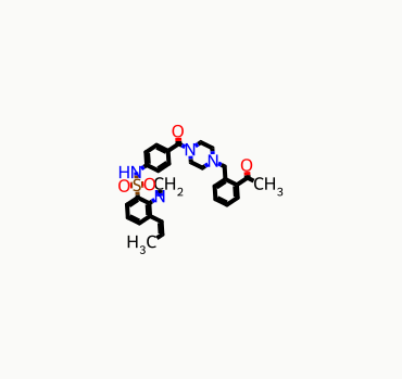 C=Nc1c(/C=C\C)cccc1S(=O)(=O)Nc1ccc(C(=O)N2CCN(Cc3ccccc3C(C)=O)CC2)cc1